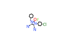 N#Cc1c(C#N)n(-c2ccc(Cl)cc2F)c(=O)n1Cc1ccccc1